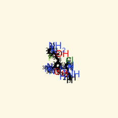 [2H]C([2H])([2H])NC(=O)c1nnc(Cl)cc1Nc1cc(CCC(O)c2nc(N)ccc2F)cc(-c2ncn(C)n2)c1OC